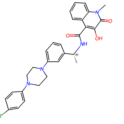 C[C@@H](NC(=O)c1c(O)c(=O)n(C)c2ccccc12)c1cccc(N2CCN(c3ccc(Cl)cc3)CC2)c1